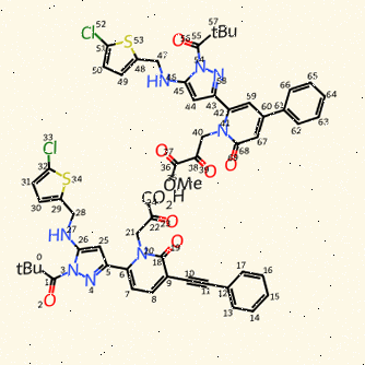 CC(C)(C)C(=O)n1nc(-c2ccc(C#Cc3ccccc3)c(=O)n2CC(=O)C(=O)O)cc1NCc1ccc(Cl)s1.COC(=O)C(=O)Cn1c(-c2cc(NCc3ccc(Cl)s3)n(C(=O)C(C)(C)C)n2)cc(-c2ccccc2)cc1=O